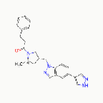 C[C@H]1CC(Cn2ncc3cc(-c4cn[nH]c4)ccc32)CN1C(=O)CCc1ccccc1